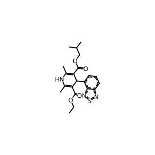 CCOC(=O)C1=C(C)NC(C)=C(C(=O)OCC(C)C)C1c1cccc2nsnc12